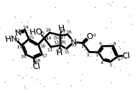 O=C(Cc1ccc(Cl)cc1)N1C[C@@H]2C[C@](O)(c3cc(Cl)cc4[nH]ncc34)C[C@@H]2C1